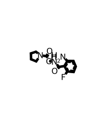 Nc1cccc(F)c1C(=O)NOC(=O)N1CCCC1